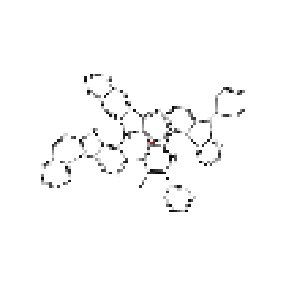 Cc1c(-c2ccccc2)nc(-c2cccc3c2c2ccccc2n3-c2ccccc2)nc1-c1ccc2c(sc3ccc4ccccc4c32)c1-n1c2ccccc2c2cc3ccccc3cc21